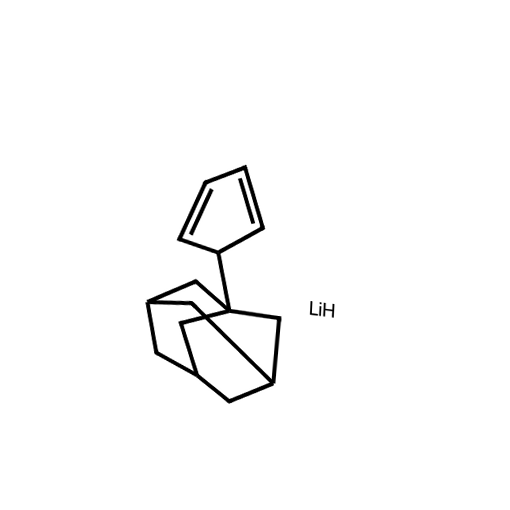 C1=C[C](C23CC4CC(CC(C4)C2)C3)C=C1.[LiH]